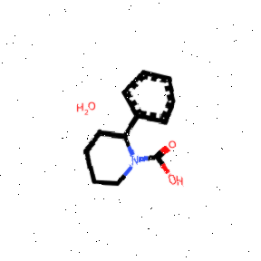 O.O=C(O)N1CCCCC1c1ccccc1